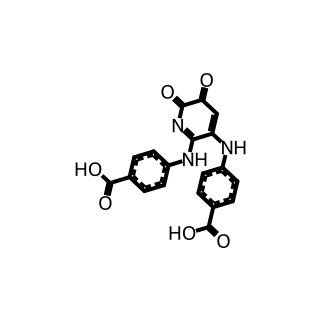 O=C1C=C(Nc2ccc(C(=O)O)cc2)C(Nc2ccc(C(=O)O)cc2)=NC1=O